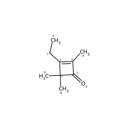 CCC1=C(C)C(=O)C1(C)C